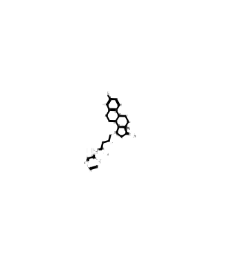 C[C@]12CCC3c4ccc(Cl)cc4CCC3C1[C@H](CCCC(=O)Nc1cnccn1)CC2=O